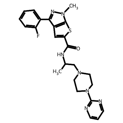 CC(CN1CCN(c2ncccn2)CC1)NC(=O)c1cc2c(-c3ccccc3F)nn(C)c2s1